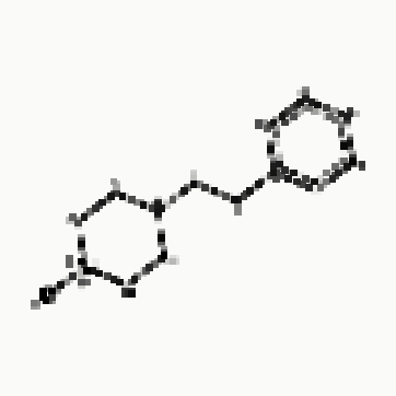 [O-][NH+]1CCC(CCc2ccccc2)CC1